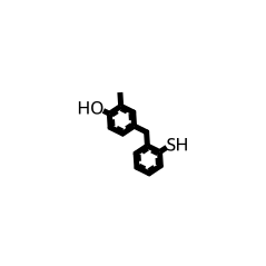 Cc1cc(Cc2ccccc2S)ccc1O